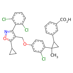 CC1(c2ccc(OCc3c(-c4c(Cl)cccc4Cl)noc3C3CC3)cc2Cl)CC1c1cccc(C(=O)O)c1